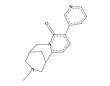 CN1CC2CC(C1)c1ccc(-c3cccnc3)c(=O)n1C2